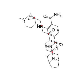 CN1CCC(CCC(=O)c2ccc(N3C4CCC3CC(NC(=O)c3ccc(C(N)=O)c(NCC5CC5)c3)C4)nc2)CC1